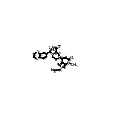 CC(c1ccc2nccnc2c1)N1CCN(c2cc(=O)n(C)c3cn(CC#N)nc23)CC1C(N)=O